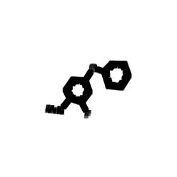 CNc1ccc(Oc2ccccc2)cc1F